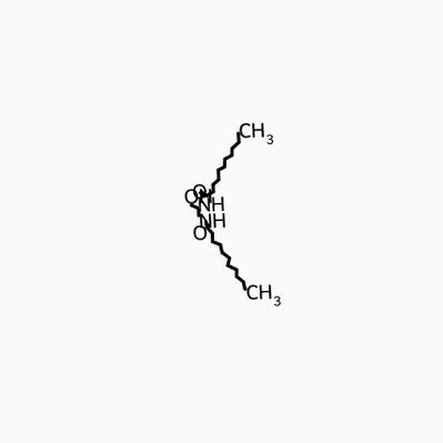 CCCCCCCCCCCC(=O)NCC(CO)NC(=O)CCCCCCCCCCC